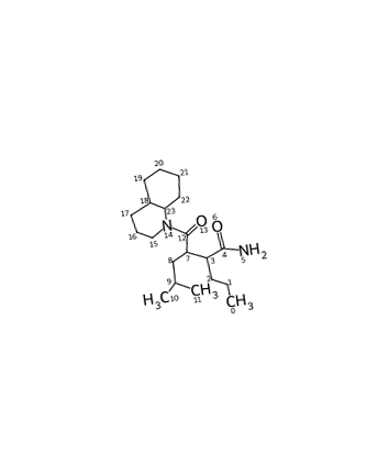 CCCC(C(N)=O)C(CC(C)C)C(=O)N1CCCC2CCCCC21